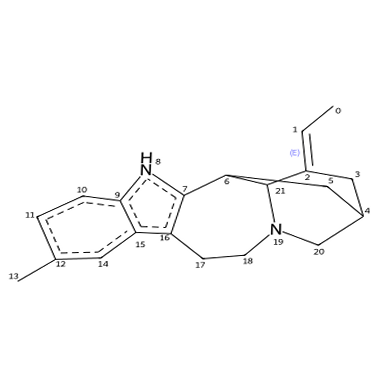 C/C=C1\CC2CC3c4[nH]c5ccc(C)cc5c4CCN(C2)C13